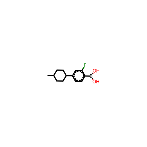 CC1CCC(c2ccc(B(O)O)c(F)c2)CC1